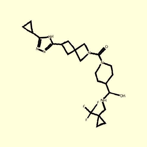 O=C(N1CCC(C(O)NCC2(C(F)(F)F)CC2)CC1)N1CC2(CC(c3nnc(C4CC4)[nH]3)C2)C1